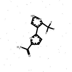 NC(=O)c1ccc(-c2c[nH]nc2C(F)(F)F)o1